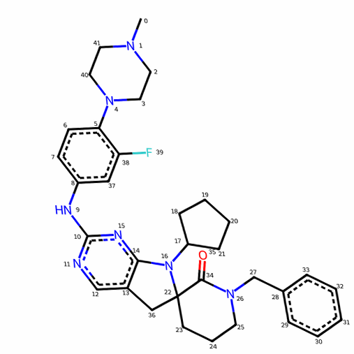 CN1CCN(c2ccc(Nc3ncc4c(n3)N(C3CCCC3)C3(CCCN(Cc5ccccc5)C3=O)C4)cc2F)CC1